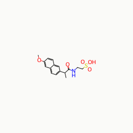 COc1ccc2cc(C(C)C(=O)NCCS(=O)(=O)O)ccc2c1